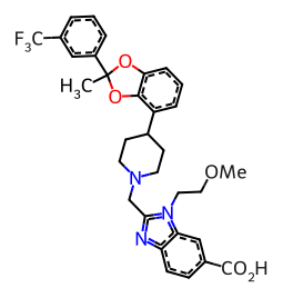 COCCn1c(CN2CCC(c3cccc4c3OC(C)(c3cccc(C(F)(F)F)c3)O4)CC2)nc2ccc(C(=O)O)cc21